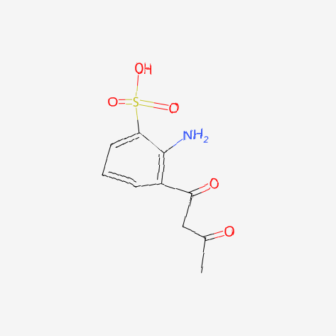 CC(=O)CC(=O)c1cccc(S(=O)(=O)O)c1N